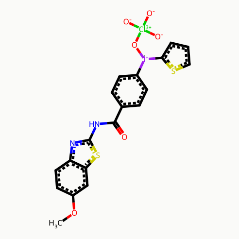 COc1ccc2nc(NC(=O)c3ccc([I+](O[Cl+3]([O-])([O-])[O-])c4cccs4)cc3)sc2c1